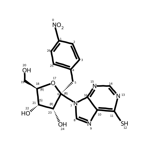 O=[N+]([O-])c1ccc(C[C@@]2(n3cnc4c(S)ncnc43)O[C@H](CO)[C@@H](O)[C@H]2O)cc1